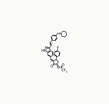 O=C1/C(=C/c2ccc3c(/C=C/c4ccc(CN5CCCCC5)cc4)n[nH]c3c2)C(c2ccc(F)cc2)CN1OC(=O)C(F)(F)F